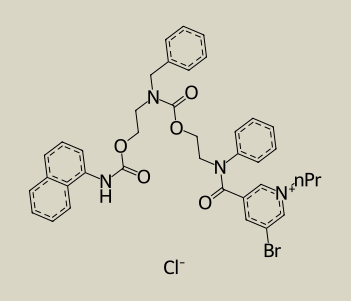 CCC[n+]1cc(Br)cc(C(=O)N(CCOC(=O)N(CCOC(=O)Nc2cccc3ccccc23)Cc2ccccc2)c2ccccc2)c1.[Cl-]